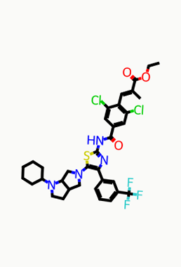 CCOC(=O)/C(C)=C/c1c(Cl)cc(C(=O)Nc2nc(-c3cccc(C(F)(F)F)c3)c(N3CC4CCN(C5CCCCC5)C4C3)s2)cc1Cl